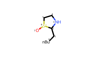 CCCCCC1NCC[S+]1[O-]